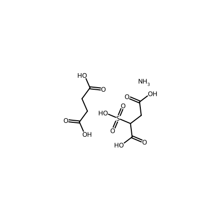 N.O=C(O)CC(C(=O)O)S(=O)(=O)O.O=C(O)CCC(=O)O